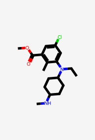 CCN(c1cc(Cl)cc(C(=O)OC)c1C)C1CCC(NC)CC1